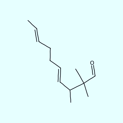 CC=CCCC=CC(C)C(C)(C)C=O